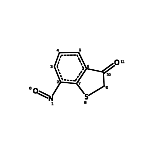 O=Nc1cccc2c1SCC2=O